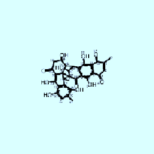 CC1=CC(=O)c2c(O)c3c(c(O)c2C1=O)C1C(O)C(C3=O)C23C(=O)c4c(O)c(C)cc(O)c4C(O)=C2C(=O)CC(O)C13